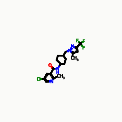 Cc1ncc(Cl)cc1C(=O)NC1CCC(Cn2nc(C(F)(F)F)cc2C)CC1